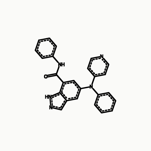 O=C(Nc1ccccc1)c1cc(N(c2ccccc2)c2ccncc2)cc2cn[nH]c12